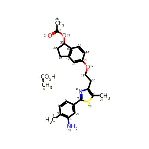 CC(=O)O.Cc1ccc(-c2nc(CCOc3ccc4c(c3)CCC4OC(=O)C(F)(F)F)c(C)s2)cc1N